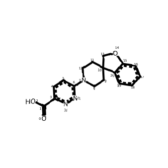 O=C(O)c1ccc(N2CCC3(CC2)COc2ccccc23)nn1